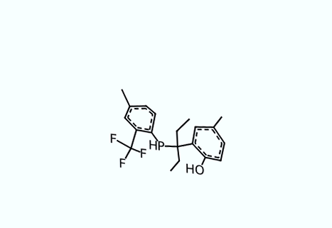 CCC(CC)(Pc1ccc(C)cc1C(F)(F)F)c1cc(C)ccc1O